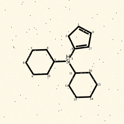 C1=CCC([SiH](C2CCCCC2)C2CCCCC2)=C1